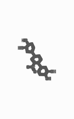 O=[N+]([O-])c1cc(-c2ccc(O)c(O)c2)ccc1-c1ccc(O)c(O)c1